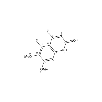 COc1cc2[nH]c(=O)nc(C)c2c(C)c1OC